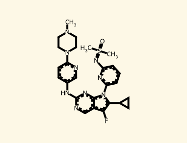 CN1CCN(c2ccc(Nc3ncc4c(F)c(C5CC5)n(-c5cccc(N=S(C)(C)=O)n5)c4n3)cn2)CC1